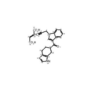 C#CCn1cc(C(=O)C2CCc3nc[nH]c3C2)c2ccccc21.O=C(O)C=CC(=O)O